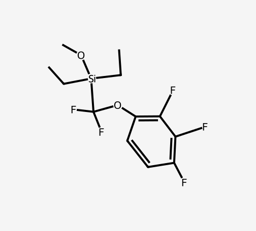 CC[Si](CC)(OC)C(F)(F)Oc1ccc(F)c(F)c1F